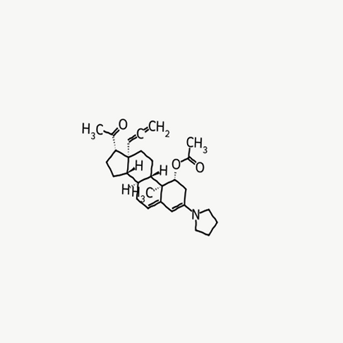 C=C=C[C@]12CC[C@H]3[C@@H](CC=C4C=C(N5CCCC5)C[C@@H](OC(C)=O)[C@@]43C)[C@@H]1CC[C@@H]2C(C)=O